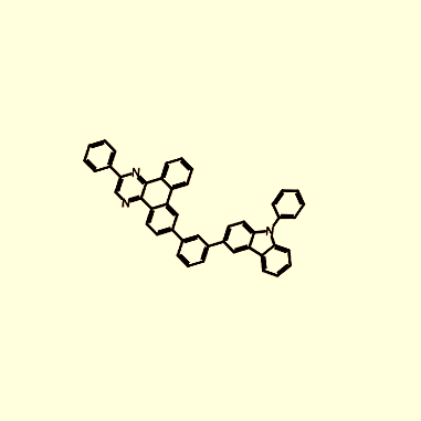 c1ccc(-c2cnc3c4ccc(-c5cccc(-c6ccc7c(c6)c6ccccc6n7-c6ccccc6)c5)cc4c4ccccc4c3n2)cc1